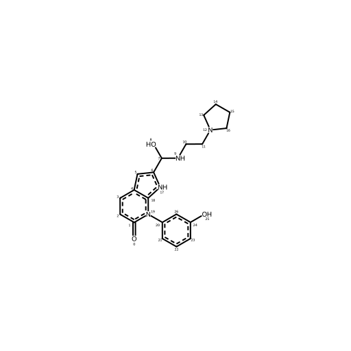 O=c1ccc2cc(C(O)NCCN3CCCC3)[nH]c2n1-c1cccc(O)c1